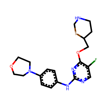 Fc1cnc(Nc2ccc(N3CCOCC3)cc2)nc1OCC1CCNCS1